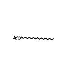 CCCCCCCCCCCCCCCCCOCC(C)(C)C